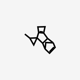 CC1CC12C1=C(CC1)C1C3C=CC(C3)C12